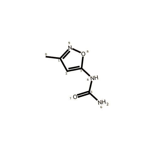 Cc1cc(NC(N)=O)on1